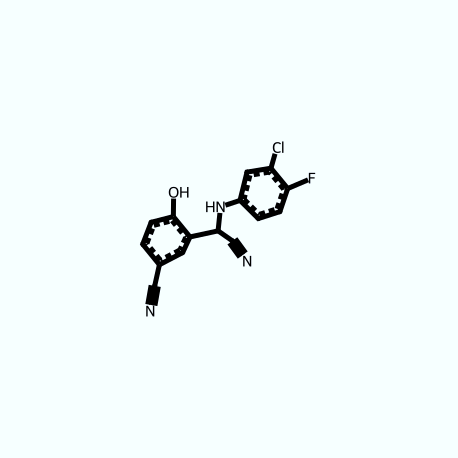 N#Cc1ccc(O)c(C(C#N)Nc2ccc(F)c(Cl)c2)c1